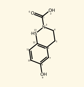 O=C(O)N1CCc2cc(O)ccc2[SH]1